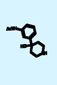 CC(=O)Nc1cccc(C2(O)CCNCC2)c1